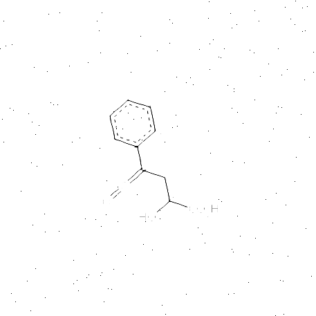 O=C=C(CC(O)C(=O)O)c1ccccc1